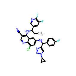 CCC(Nc1c(C#N)cnc2c(Cl)cc(NC(c3ccc(F)cc3)c3cn(C4CC4)nn3)cc12)c1cnc(F)c(F)c1